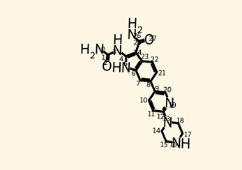 NC(=O)Nc1[nH]c2cc(-c3ccc(N4CCNCC4)nc3)ccc2c1C(N)=O